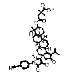 CC(C)C1=C2[C@H]3CC[C@@H]4[C@@]5(C)CC[C@H](OC(=O)CC(C)(C)C(=O)O)C(C)(C)[C@@H]5CC[C@@]4(C)[C@]3(C)CC[C@@]2(c2c(Cl)c(=O)n(-c3ccc(C#N)cc3)n2C)CC1=O